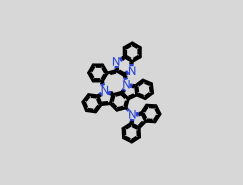 c1ccc2nc3c(nc2c1)c1ccccc1n1c2ccccc2c2cc(-n4c5ccccc5c5ccccc54)c4c5ccccc5n3c4c21